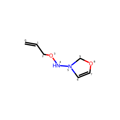 C=CCONN1C=COC1